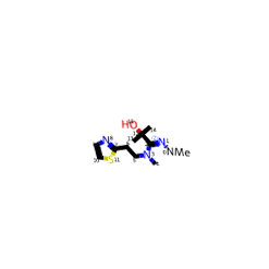 CN/N=C(\N(C)CCc1nccs1)C(C)(C)O